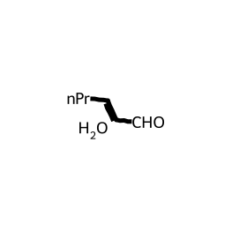 CCCC=CC=O.O